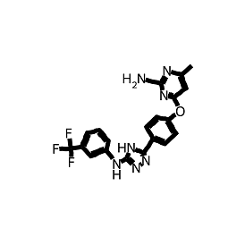 Cc1cc(Oc2ccc(-c3nnc(Nc4cccc(C(F)(F)F)c4)[nH]3)cc2)nc(N)n1